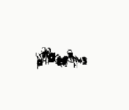 O=C(NCCN1CCOCC1)c1cc2c(Oc3ccc(NC(=O)C4(C(=O)Nc5ccc(F)cc5)COC4)cc3)ccnc2[nH]1